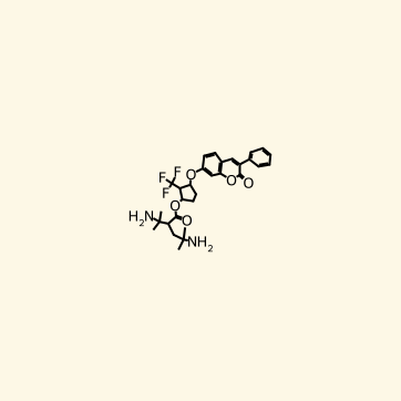 CC(C)(N)CC(C(=O)OC1CCC(Oc2ccc3cc(-c4ccccc4)c(=O)oc3c2)C1C(F)(F)F)C(C)(C)N